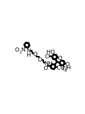 O=C(NCCOCCOCCNc1ccccc1[N+](=O)[O-])c1ccc(C(=O)O)c(-c2c3cc(Cl)c(=O)cc-3oc3cc(O)c(Cl)cc23)c1